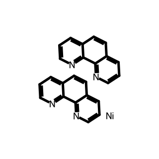 [Ni].c1cnc2c(c1)ccc1cccnc12.c1cnc2c(c1)ccc1cccnc12